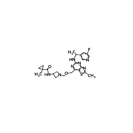 Cc1nc2nc(NC(C)c3cncc(F)c3)nc(COCN3CC(NC(=O)C4(C)CC4)C3)c2s1